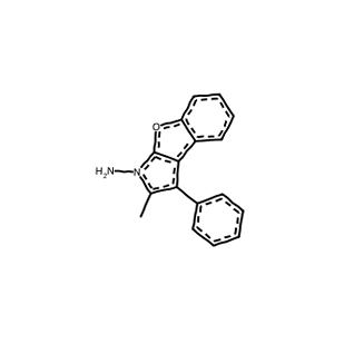 Cc1c(-c2ccccc2)c2c3ccccc3oc2n1N